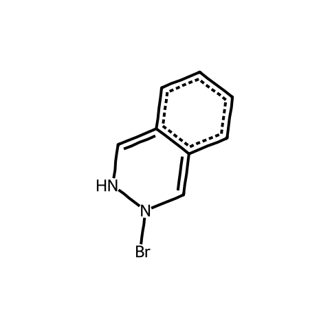 BrN1C=c2ccccc2=CN1